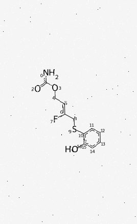 NC(=O)OC/C=C(\F)CSc1ccccc1O